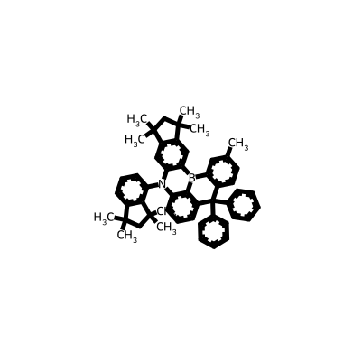 Cc1ccc2c(c1)B1c3cc4c(cc3N(c3cccc5c3C(C)(C)CC5(C)C)c3cccc(c31)C2(c1ccccc1)c1ccccc1)C(C)(C)CC4(C)C